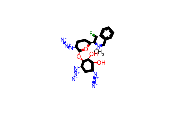 CN(Cc1ccccc1)C(CF)[C@@H]1CC[C@@H](N=[N+]=[N-])[C@@H](O[C@H]2[C@H](O)[C@@H](O)[C@H](N=[N+]=[N-])C[C@@H]2N=[N+]=[N-])O1